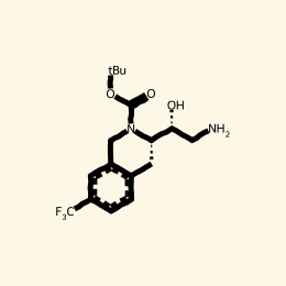 CC(C)(C)OC(=O)N1Cc2cc(C(F)(F)F)ccc2C[C@H]1[C@H](O)CN